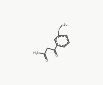 CC(C)(C)Oc1[c]ccc(C(=O)CC(N)=O)c1